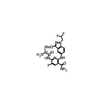 CC[C@@H](Nc1nc(Nc2ccc3c(c2)c(OC)nn3CC(F)F)c(C(N)=O)cc1F)[C@H](C)N